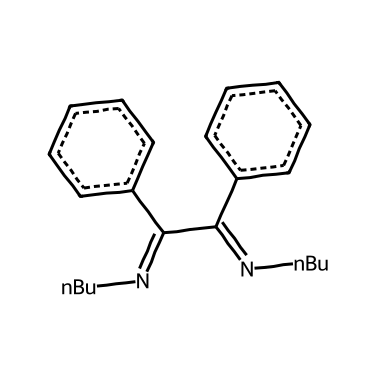 CCCC/N=C(/C(=N/CCCC)c1ccccc1)c1ccccc1